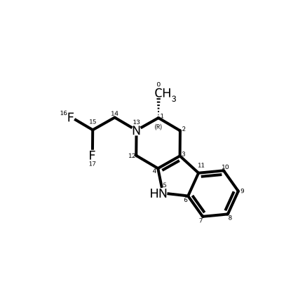 C[C@@H]1Cc2c([nH]c3ccccc23)CN1CC(F)F